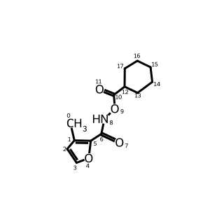 Cc1ccoc1C(=O)NOC(=O)C1CCCCC1